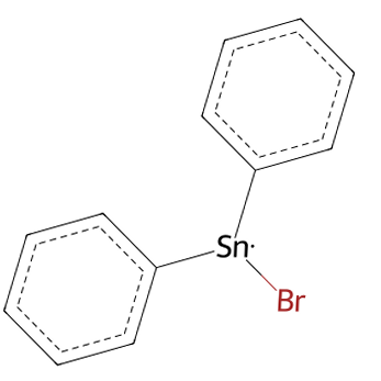 [Br][Sn]([c]1ccccc1)[c]1ccccc1